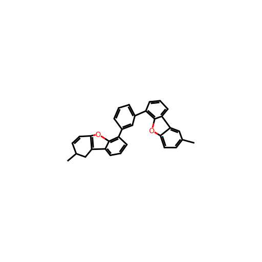 Cc1ccc2oc3c(-c4cccc(-c5cccc6c7c(oc56)C=CC(C)C7)c4)cccc3c2c1